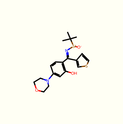 CC(C)(C)[S+]([O-])N=C(c1ccsc1)c1ccc(N2CCOCC2)cc1O